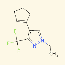 CCn1cc(C2=CCCC2)c(C(F)(F)F)n1